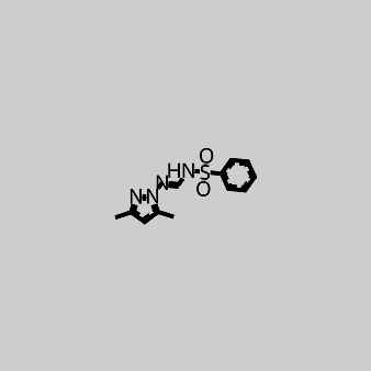 Cc1cc(C)n(N=CNS(=O)(=O)c2ccccc2)n1